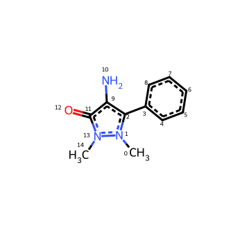 Cn1c(-c2ccccc2)c(N)c(=O)n1C